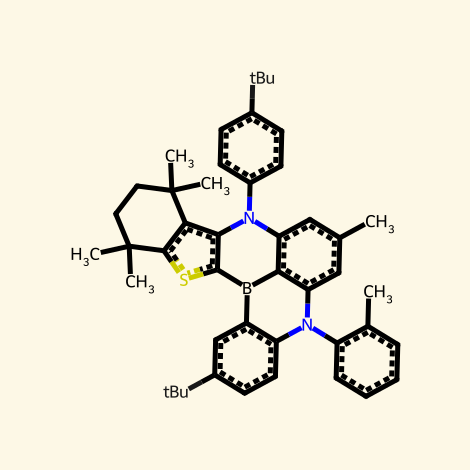 Cc1cc2c3c(c1)N(c1ccc(C(C)(C)C)cc1)c1c(sc4c1C(C)(C)CCC4(C)C)B3c1cc(C(C)(C)C)ccc1N2c1ccccc1C